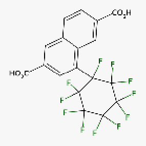 O=C(O)c1cc(C2(F)C(F)(F)C(F)(F)C(F)(F)C(F)(F)C2(F)F)c2cc(C(=O)O)ccc2c1